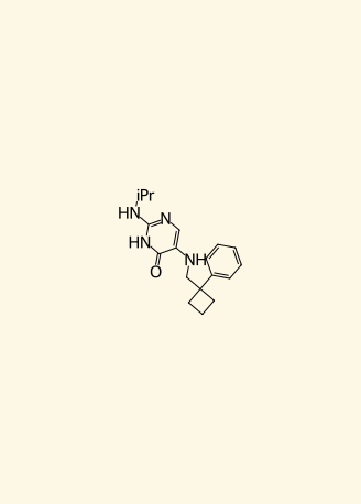 CC(C)Nc1ncc(NCC2(c3ccccc3)CCC2)c(=O)[nH]1